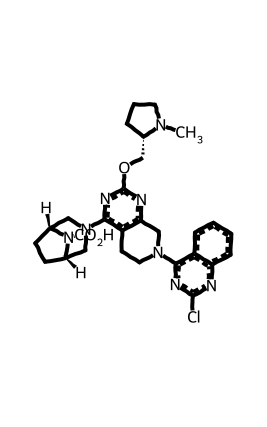 CN1CCC[C@H]1COc1nc2c(c(N3C[C@H]4CC[C@@H](C3)N4C(=O)O)n1)CCN(c1nc(Cl)nc3ccccc13)C2